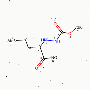 CSCC[C@H](NNC(=O)OC(C)(C)C)C(=O)N=O